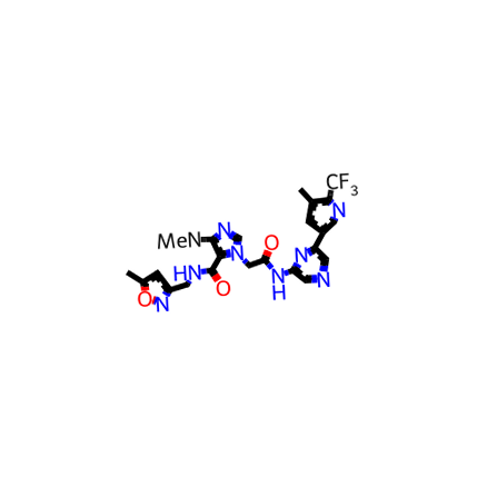 CNc1ncn(CC(=O)Nc2cncc(-c3cnc(C(F)(F)F)c(C)c3)n2)c1C(=O)NCc1cc(C)on1